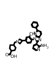 Cc1cc(C2CN(CC3CCC(C(=O)O)CC3)C2)ccc1-n1c(-c2cccnc2N)nc2ccc(-c3ccccc3)nc21